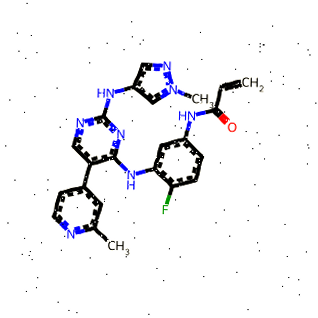 C=CC(=O)Nc1ccc(F)c(Nc2nc(Nc3cnn(C)c3)ncc2-c2ccnc(C)c2)c1